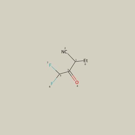 CCC(C#N)C(=O)C(F)F